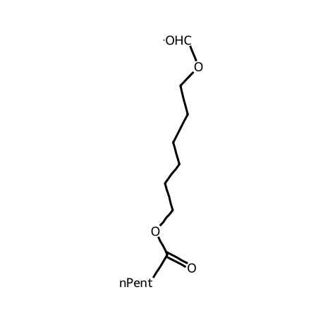 CCCCCC(=O)OCCCCCCO[C]=O